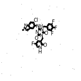 Cn1cc2cc(Nc3nc(=O)n(Cc4cc(F)c[nH]c4=O)c(=O)n3Cc3cc(F)c(F)c(F)c3)c(Cl)cc2n1